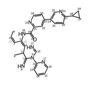 C/C=C\C(=C/C(C)C(=N)N(C=N)c1ccccn1)NC(=O)c1cc(-c2ccc(C3CC3)nc2)ccn1